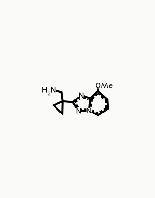 COc1cccn2nc(C3(CN)CC3)nc12